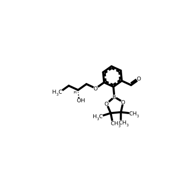 CC[C@@H](O)COc1cccc(C=O)c1B1OC(C)(C)C(C)(C)O1